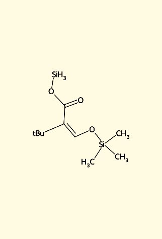 CC(C)(C)C(=CO[Si](C)(C)C)C(=O)O[SiH3]